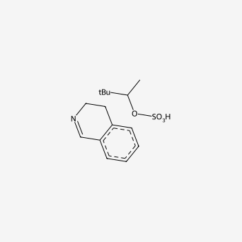 C1=NCCc2ccccc21.CC(OS(=O)(=O)O)C(C)(C)C